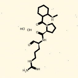 CNC1CCCCC1C(=O)N1CCC[C@H]1C(=O)N[C@H](C=O)CCCNC(=N)N.Cl.Cl